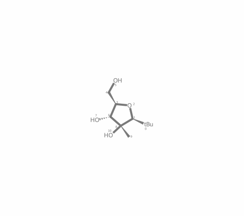 CC(C)(C)[C@@H]1O[C@H](CO)[C@@H](O)[C@@]1(C)O